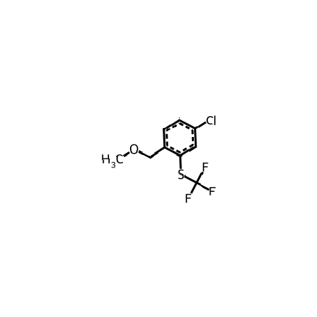 COCc1c[c]c(Cl)cc1SC(F)(F)F